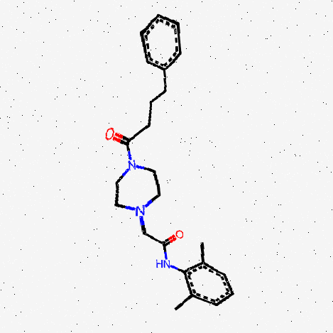 Cc1cccc(C)c1NC(=O)CN1CCN(C(=O)CCCc2ccccc2)CC1